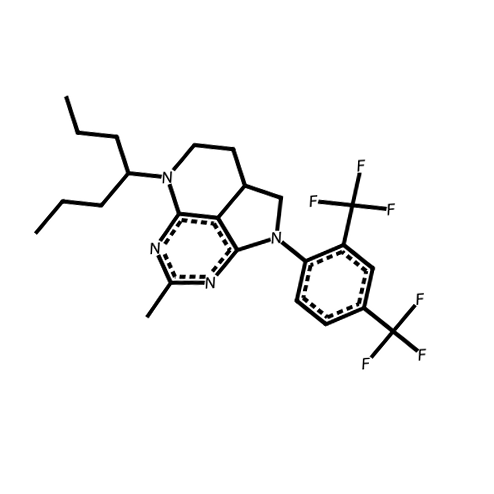 CCCC(CCC)N1CCC2CN(c3ccc(C(F)(F)F)cc3C(F)(F)F)c3nc(C)nc1c32